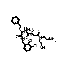 NCCN(CCN)C(=O)C[C@H](N)C(=O)N[C@@H](CCc1ccccc1)C(=O)NCc1cccc(Cl)c1Cl